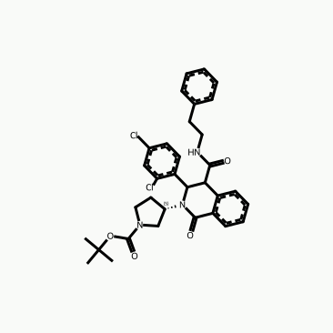 CC(C)(C)OC(=O)N1CC[C@H](N2C(=O)c3ccccc3C(C(=O)NCCc3ccccc3)C2c2ccc(Cl)cc2Cl)C1